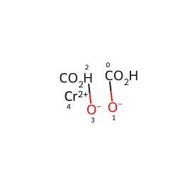 O=C([O-])O.O=C([O-])O.[Cr+2]